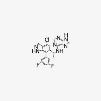 CC(Nc1ncnc2[nH]cnc12)c1cc(Cl)c2cn[nH]c2c1-c1cc(F)cc(F)c1